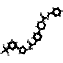 O=C(Cc1ccc(N2CCN(C(=O)OCc3ccccc3)CC2)cc1)N[C@@H]1CCN(c2cncc(C(F)(F)F)c2)C1